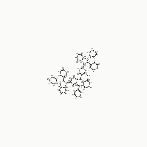 c1ccc(-c2c(-c3ccccc3)n(-c3ccc4c(c3)Cc3cccc5c3B4c3ccc(-n4c(-c6ccccc6)c(-c6ccccc6)c6ccccc64)cc3N5c3ccccc3)c3ccccc23)cc1